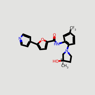 C[C@@]1(O)CCN(c2ccc(C(F)(F)F)cc2NC(=O)c2ccc(-c3ccncc3)o2)C1